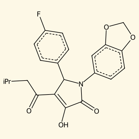 CC(C)CC(=O)C1=C(O)C(=O)N(c2ccc3c(c2)OCO3)C1c1ccc(F)cc1